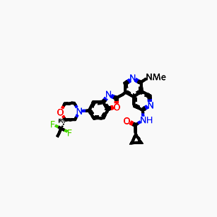 CNc1ncc(-c2nc3cc(N4CCO[C@@H](C(C)(F)F)C4)ccc3o2)c2cc(NC(=O)C3CC3)ncc12